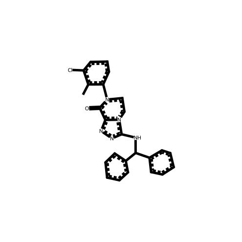 Cc1c(Cl)cccc1-n1ccn2c(NC(c3ccccc3)c3ccccc3)nnc2c1=O